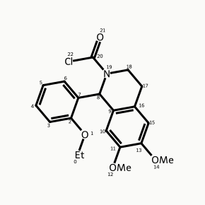 CCOc1ccccc1C1c2cc(OC)c(OC)cc2CCN1C(=O)Cl